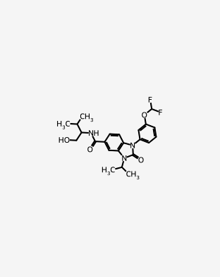 CC(C)C(CO)NC(=O)c1ccc2c(c1)n(C(C)C)c(=O)n2-c1cccc(OC(F)F)c1